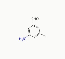 Cc1cc(N)cc(C=O)c1